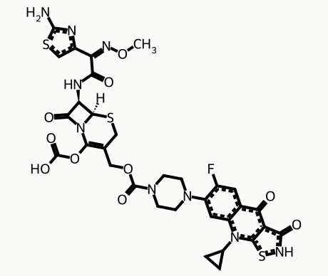 CO/N=C(\C(=O)N[C@@H]1C(=O)N2C(OC(=O)O)=C(COC(=O)N3CCN(c4cc5c(cc4F)c(=O)c4c(=O)[nH]sc4n5C4CC4)CC3)CS[C@H]12)c1csc(N)n1